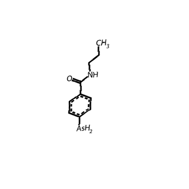 CCCNC(=O)c1ccc([AsH2])cc1